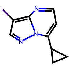 Ic1cnn2c(C3CC3)ccnc12